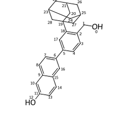 OCc1ccc(-c2ccc3cc(O)ccc3c2)cc1C12CC3CC(CC(C3)C1)C2